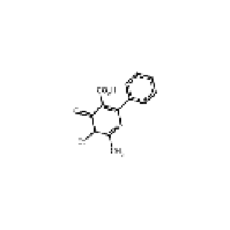 CCC1C(=O)C(C(=O)O)=C(c2ccccc2)N=C1C